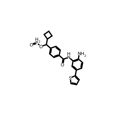 Nc1ccc(-c2cccs2)cc1NC(=O)c1ccc(C(O[PH2]=O)C2CCC2)cc1